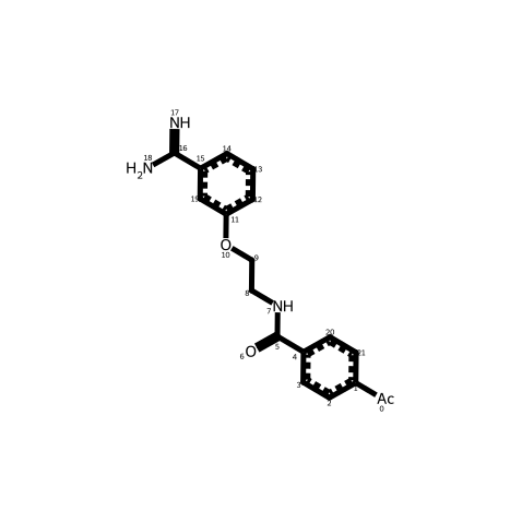 CC(=O)c1ccc(C(=O)NCCOc2cccc(C(=N)N)c2)cc1